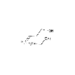 C=CCCO.C=COC(C)=O